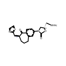 CC(=O)NC[C@H]1CN(c2ccc3c(c2)CCC/C(=C/c2nccs2)C3=O)C(=O)O1